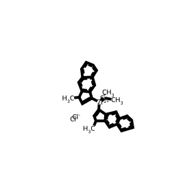 CC1C=[C]([Zr+2]([C]2=CC(C)c3cc4ccccc4cc32)=[Si](C)C)c2cc3ccccc3cc21.[Cl-].[Cl-]